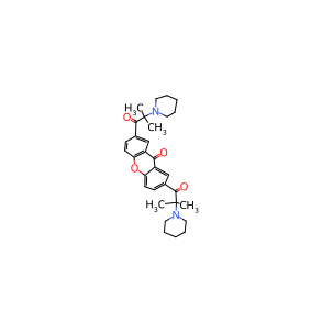 CC(C)(C(=O)c1ccc2oc3ccc(C(=O)C(C)(C)N4CCCCC4)cc3c(=O)c2c1)N1CCCCC1